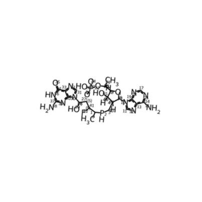 CC1PC[C@@H]2[C@H](O)[C@H](O[C@H]2n2cnc3c(N)ncnc32)[C@H](C)OP(=O)(O)O[C@@H]([C@@H](O)n2cnc3c(=O)[nH]c(N)nc32)[C@@H]1F